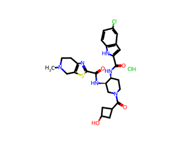 CN1CCc2nc(C(=O)N[C@@H]3CN(C(=O)C4CC(O)C4)CC[C@@H]3NC(=O)c3cc4cc(Cl)ccc4[nH]3)sc2C1.Cl